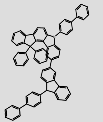 c1ccc(-c2ccc(C3c4ccccc4-c4cc(-c5ccc6c(c5)c5c7c(ccc5n6-c5ccc(-c6ccccc6)cc5)-c5ccccc5C7(c5ccccc5)c5ccccc5)ccc43)cc2)cc1